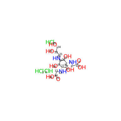 Cl.Cl.Cl.O=C(O)CN[C@@H]1[C@H](O)[C@H](NCC(=O)O)[C@H](O)[C@H](NCC(O)CO)[C@@H]1O